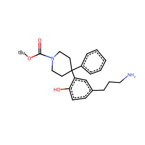 CC(C)(C)OC(=O)N1CCC(c2ccccc2)(c2cc(CCCN)ccc2O)CC1